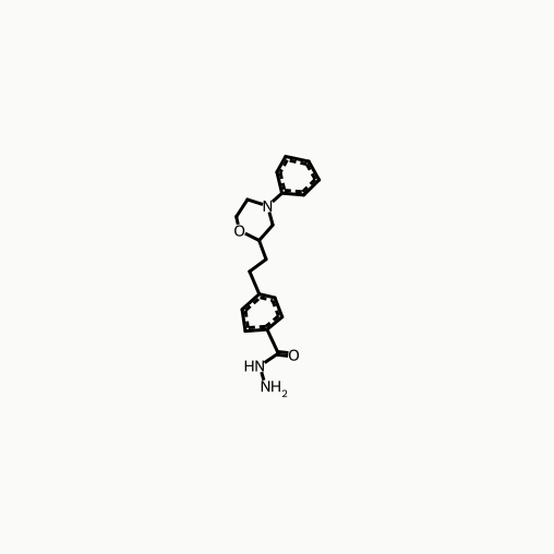 NNC(=O)c1ccc(CCC2CN(c3ccccc3)CCO2)cc1